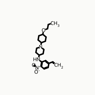 C=Cc1ccc([N+](=O)[O-])c(NC2CCN(C3CCC(OCCC)CC3)CC2)c1